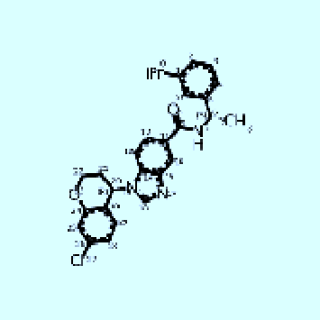 CC(C)c1cccc([C@H](C)NC(=O)c2ccc3c(c2)ncn3[C@@H]2CCOc3cc(Cl)ccc32)c1